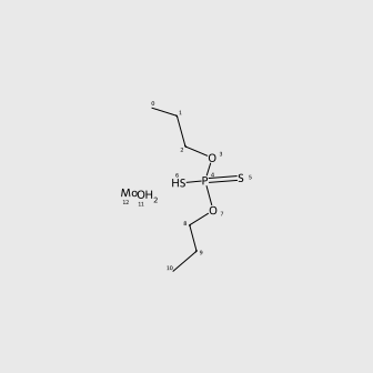 CCCOP(=S)(S)OCCC.O.[Mo]